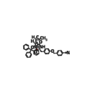 CC(C)(C)OC(=O)N[C@@H](Cc1ccc(OCc2ccc(C#N)cc2)cc1)C(=O)NOC(c1ccccc1)(c1ccccc1)c1ccccc1